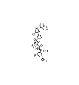 CCc1cc(F)cc([C@@H](CO)NC(=O)[C@@H](C)N2Cc3ccc(-c4nc(N[C@@H]5CCOC[C@H]5F)ncc4Cl)cc3S2(=O)=O)c1